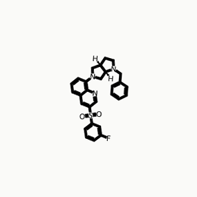 O=S(=O)(c1cccc(F)c1)c1cnc2c(N3C[C@@H]4CCN(Cc5ccccc5)[C@@H]4C3)cccc2c1